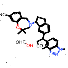 Cc1c(C(CC(=O)O)c2ccc3c(c2)C(N2Cc4ccc(C#N)cc4OC(C)(C)C2)CC3)ccc2c1nnn2C.O=CO